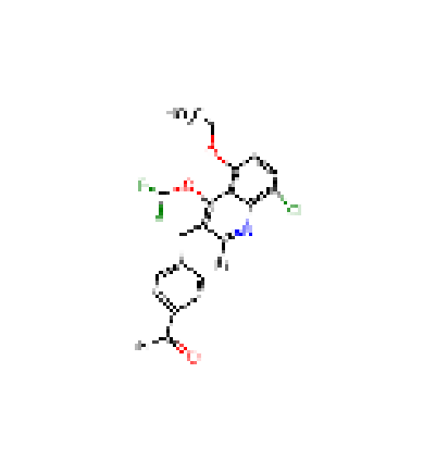 CCc1nc2c(Cl)ccc(OCC(=O)O)c2c(OC(F)F)c1Cc1ccc(C(=O)C(C)C)cc1